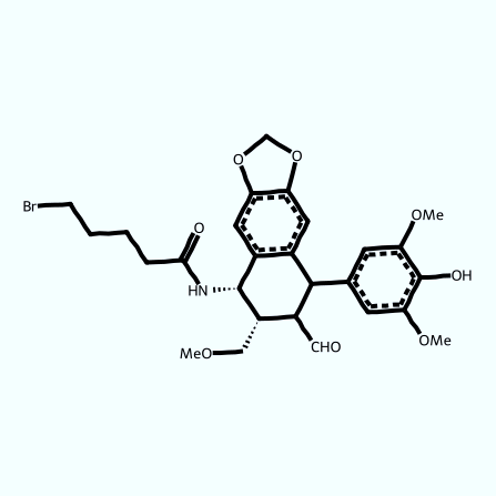 COC[C@H]1C(C=O)C(c2cc(OC)c(O)c(OC)c2)c2cc3c(cc2[C@H]1NC(=O)CCCCBr)OCO3